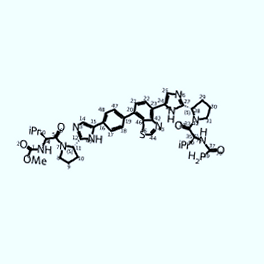 COC(=O)N[C@H](C(=O)N1CCC[C@H]1c1ncc(-c2ccc(-c3ccc(-c4cnc([C@@H]5CCCN5C(=O)[C@@H](NC(=O)P)C(C)C)[nH]4)c4ncsc34)cc2)[nH]1)C(C)C